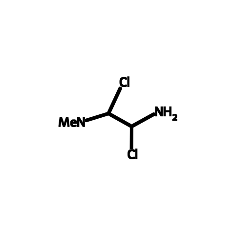 CNC(Cl)C(N)Cl